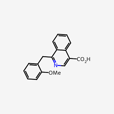 COc1ccccc1Cc1ncc(C(=O)O)c2ccccc12